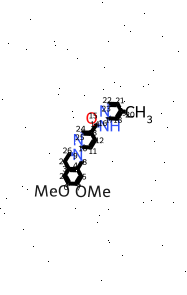 COc1cc2c(cc1OC)CN(c1ccc(C(=O)Nc3cc(C)ccn3)cn1)CC2